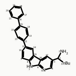 CCCCC(N)c1cnc2[nH]c3ccc(-c4ccc(-c5ccccc5)cc4)cc3c2c1